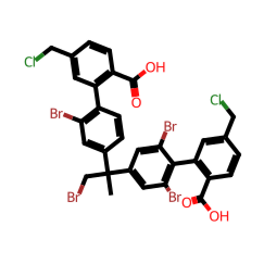 CC(CBr)(c1ccc(-c2cc(CCl)ccc2C(=O)O)c(Br)c1)c1cc(Br)c(-c2cc(CCl)ccc2C(=O)O)c(Br)c1